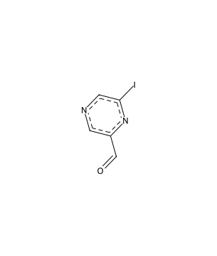 O=Cc1cncc(I)n1